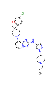 N#CCCN1CCC(n2cc(Nc3nc4c(N5CCC(CO)(c6ccc(Cl)cc6)CC5)cccn4n3)cn2)CC1